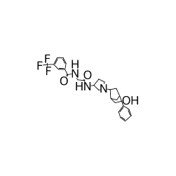 O=C(CNC(=O)c1cccc(C(F)(F)F)c1)NC1CCN(C2CC3CC2CC3(O)c2ccccc2)C1